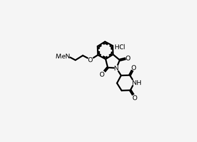 CNCCOc1cccc2c1C(=O)N(C1CCC(=O)NC1=O)C2=O.Cl